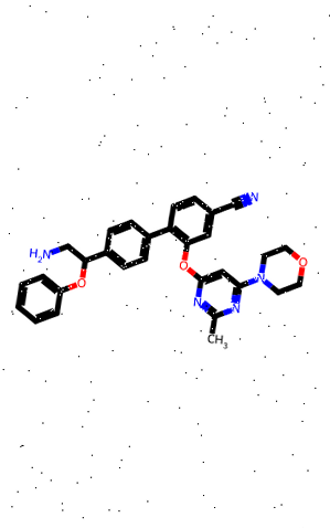 Cc1nc(Oc2cc(C#N)ccc2-c2ccc(C(CN)Oc3ccccc3)cc2)cc(N2CCOCC2)n1